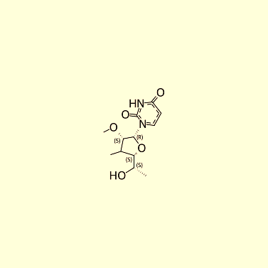 CO[C@H]1C(C)[C@@H]([C@H](C)O)O[C@H]1n1ccc(=O)[nH]c1=O